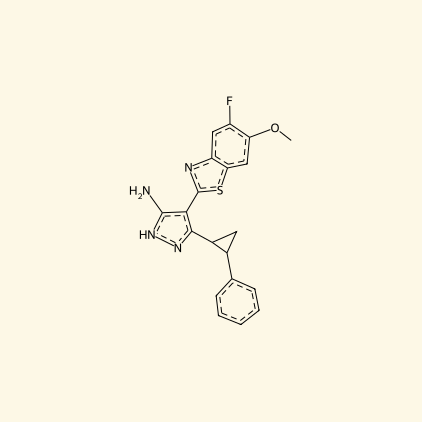 COc1cc2sc(-c3c(C4CC4c4ccccc4)n[nH]c3N)nc2cc1F